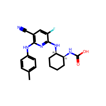 Cc1ccc(Nc2nc(N[C@@H]3CCCC[C@@H]3NC(=O)O)c(F)cc2C#N)cc1